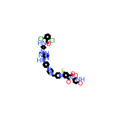 O=C1CC[C@H](N2C(=O)c3cc(F)c(N4CCC(CN5CCN(c6ccc(Nc7ncnc8c7ncn8C7CC(NC(=O)c8c(Cl)cccc8Cl)C7)cc6)CC5)CC4)cc3C2=O)C(=O)N1